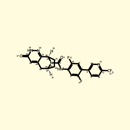 O=C(Nc1cc(F)c(-c2ccc(C(F)(F)F)nc2)cc1F)N1[C@H]2CC[C@@H]1c1n[nH]c(=O)cc1C2